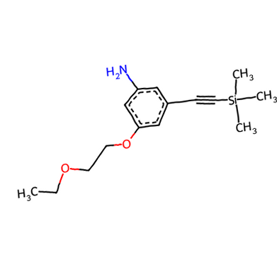 CCOCCOc1cc(N)cc(C#C[Si](C)(C)C)c1